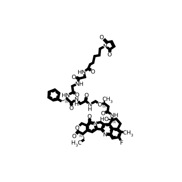 CC[C@@H]1C(=O)OCc2c1cc1n(c2=O)Cc2c-1nc1cc(F)c(C)c3c1c2[C@](O)(NC(=O)C[C@H](C)OCNC(=O)CNC(=O)[C@H](Cc1ccccc1)NC(=O)CNC(=O)CNC(=O)CCCCCN1C(=O)C=CC1=O)CC3